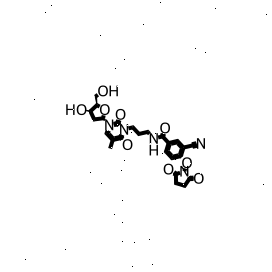 Cc1cn([C@H]2C[C@H](O)[C@@H](CO)O2)c(=O)n(CCCNC(=O)c2ccc(ON3C(=O)CCC3=O)c(C#N)c2)c1=O